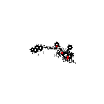 CO[C@H]1C(=O)[C@]2(C)[C@@H](OC)C[C@H]3OC[C@@]3(OC(C)=O)[C@H]2[C@H](OC(=O)c2ccccc2)[C@]2(O)C[C@H](OC(=O)[C@@H](Cc3ccccc3)OC(=O)COCCOCCO[C@H]3CC[C@@]4(C)C(=CCC5C6CCC[C@@]6(C)CCC54)C3)C(C)=C1C2(C)C